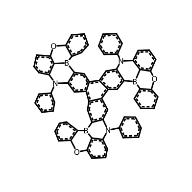 c1ccc(N2c3cc4c(cc3B3c5ccccc5Oc5cccc2c53)c2cc3c(cc2c2cc5c(cc42)B2c4ccccc4Oc4cccc(c42)N5c2ccccc2)B2c4ccccc4Oc4cccc(c42)N3c2ccccc2)cc1